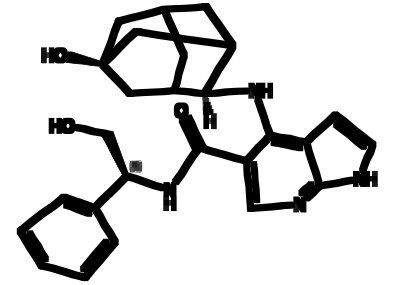 O=C(N[C@H](CO)c1ccccc1)c1cnc2[nH]ccc2c1N[C@H]1C2CC3CC1C[C@@](O)(C3)C2